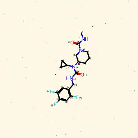 CNC(=O)N1CCC[C@@H](N(C(=O)NCc2cc(F)c(F)cc2F)C2CC2)C1